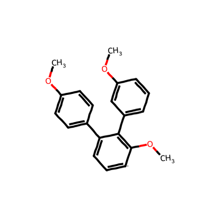 COc1ccc(-c2cc[c]c(OC)c2-c2cccc(OC)c2)cc1